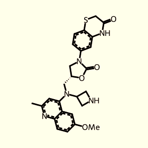 COc1ccc2nc(C)cc(N(C[C@@H]3CN(c4ccc5c(c4)NC(=O)CS5)C(=O)O3)C3CNC3)c2c1